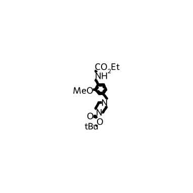 CCOC(=O)CNCc1ccc(CN2CCN(C(=O)OC(C)(C)C)CC2)cc1OC